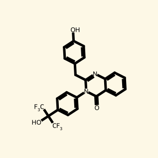 O=c1c2ccccc2nc(Cc2ccc(O)cc2)n1-c1ccc(C(O)(C(F)(F)F)C(F)(F)F)cc1